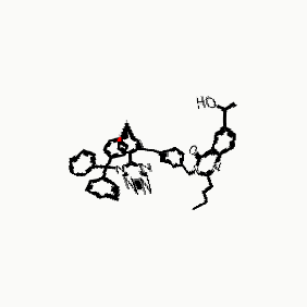 CCCCc1nc2ccc(C(C)O)cc2c(=O)n1Cc1ccc(-c2ccccc2-c2nnnn2C(c2ccccc2)(c2ccccc2)c2ccccc2)cc1